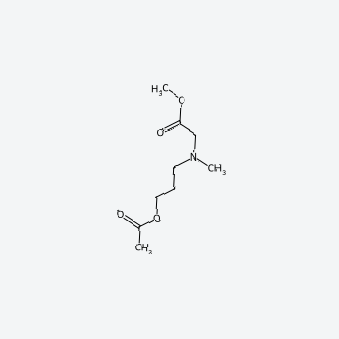 COC(=O)CN(C)CCCOC(C)=O